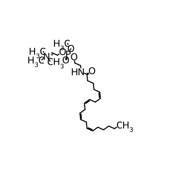 CCCCC/C=C\C/C=C\C/C=C\C/C=C\CCCC(=O)NCCOP(=O)(OC)OCC[N+](C)(C)C